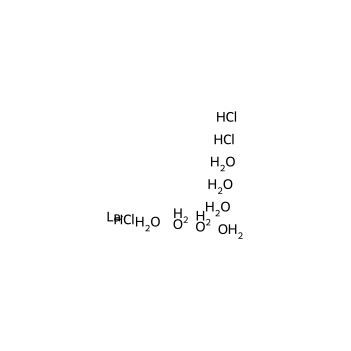 Cl.Cl.Cl.O.O.O.O.O.O.O.[La]